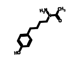 CC(=O)N(N)CCCCc1ccc(O)cc1